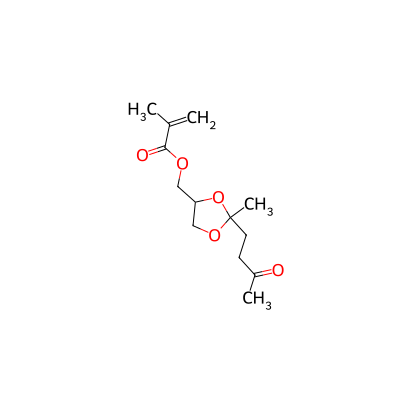 C=C(C)C(=O)OCC1COC(C)(CCC(C)=O)O1